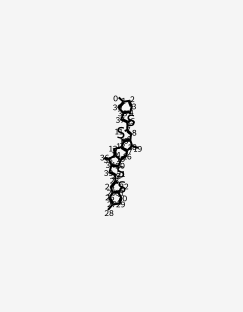 Cc1ccc2sc(-c3cc4c(s3)-c3cc5c(cc3C4C)-c3sc(-c4cc6cc(C)ccc6s4)cc3C5C)cc2c1